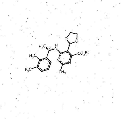 CCOC(=O)c1nc(C)nc(N[C@H](C)c2cccc(C(F)(F)F)c2C)c1C1OCCO1